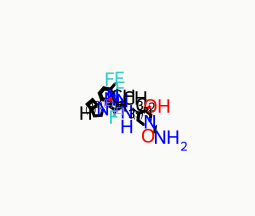 C=N/C(NC[C@@H]1CCN(CC(N)=O)C[C@]1(C)O)=C(F)\C(=N/C)N1CC[C@H]2C=C[C@]21c1ccc(C(F)(F)F)nc1